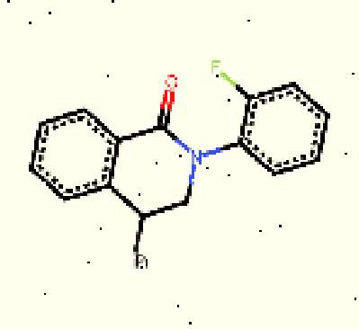 CC(C)C1CN(c2ccccc2F)C(=O)c2ccccc21